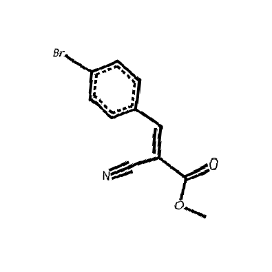 COC(=O)/C(C#N)=C/c1ccc(Br)cc1